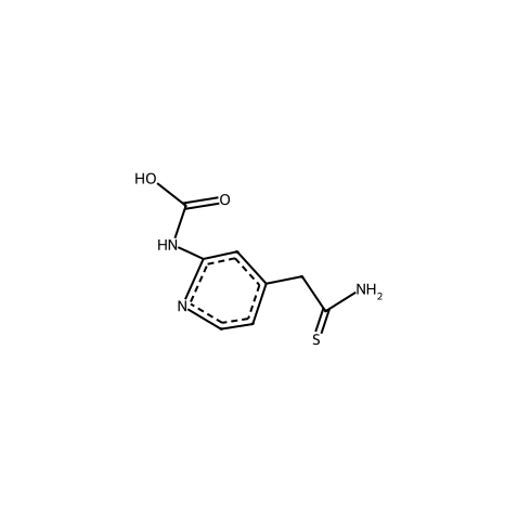 NC(=S)Cc1ccnc(NC(=O)O)c1